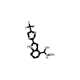 ONC(O)c1cccc2[nH]c(-c3cnc(C(F)(F)F)cn3)cc12